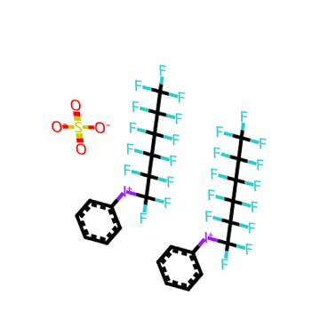 FC(F)(F)C(F)(F)C(F)(F)C(F)(F)C(F)(F)C(F)(F)[I+]c1ccccc1.FC(F)(F)C(F)(F)C(F)(F)C(F)(F)C(F)(F)C(F)(F)[I+]c1ccccc1.O=S(=O)([O-])[O-]